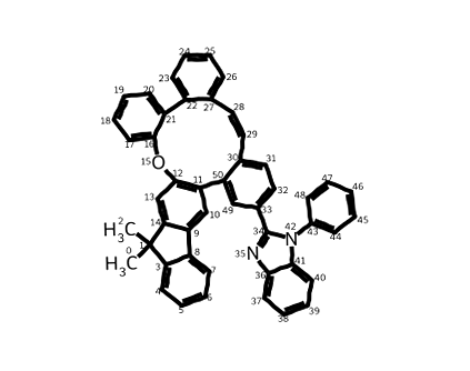 CC1(C)c2ccccc2-c2cc3c(cc21)Oc1ccccc1-c1ccccc1/C=C\c1ccc(-c2nc4ccccc4n2-c2ccccc2)cc1-3